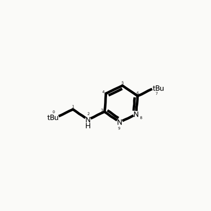 CC(C)(C)CNc1ccc(C(C)(C)C)nn1